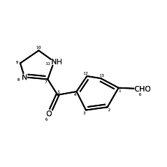 O=Cc1ccc(C(=O)C2=NCCN2)cc1